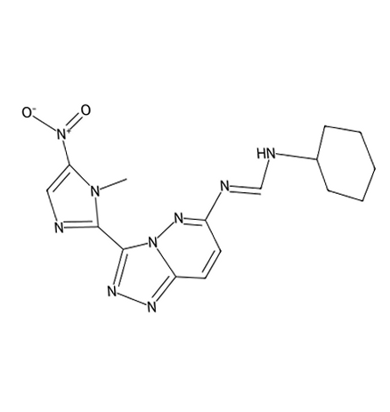 Cn1c([N+](=O)[O-])cnc1-c1nnc2ccc(N=CNC3CCCCC3)nn12